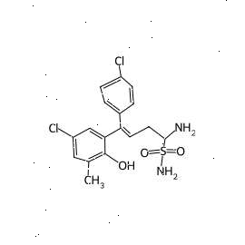 Cc1cc(Cl)cc(C(=CCC(N)S(N)(=O)=O)c2ccc(Cl)cc2)c1O